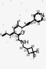 C=C/C=C(\C=C(\C)CC#Cc1ccncc1)C(=O)CNCC1CC(F)(F)C1